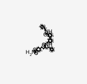 NS(=O)(=O)c1ccc(CCC(CCc2ccccc2)C(=O)NCc2cccc(-c3cccc(C(=O)NCCN4CCCC4)c3)c2)cc1